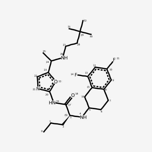 CCC[C@H](NC1CCc2cc(F)cc(F)c2C1)C(=O)Nc1ncc(C(C)NCCC(C)(C)C)o1